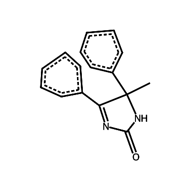 CC1(c2ccccc2)NC(=O)N=C1c1ccccc1